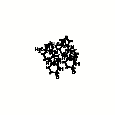 C[C@@]12C=CC[C@H]1[C@@H]1CCC3NC(=O)CC[C@]3(C)[C@H]1CC2.C[C@@]12CCC[C@H]1[C@@H]1CC=C3NC(=O)CC[C@]3(C)[C@H]1CC2